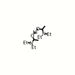 CCN(CC)C(C)[O][Ni][O]C(C)N(CC)CC